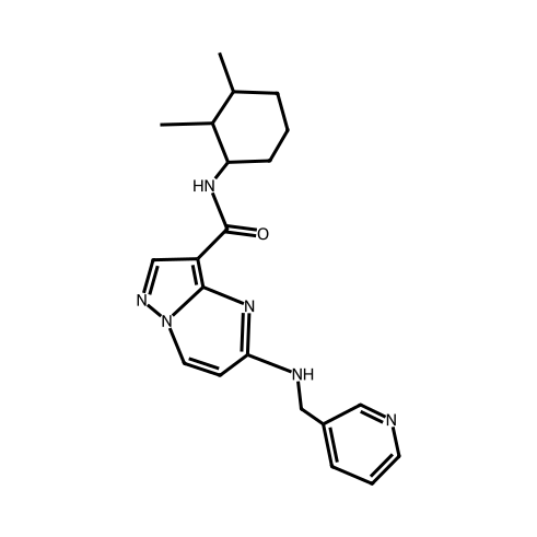 CC1CCCC(NC(=O)c2cnn3ccc(NCc4cccnc4)nc23)C1C